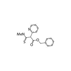 CNC(=S)C(C(=O)OCc1ccccc1)c1ccccn1